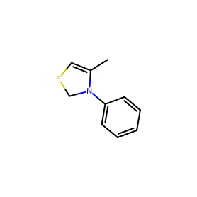 CC1=CS[CH]N1c1ccccc1